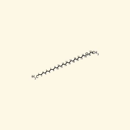 [CH2]CCCCCCCCCCCCCCCCCCCCCCCCOCCC